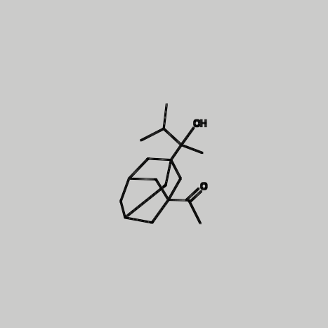 CC(=O)C12CC3CC(C1)CC(C(C)(O)C(C)C)(C3)C2